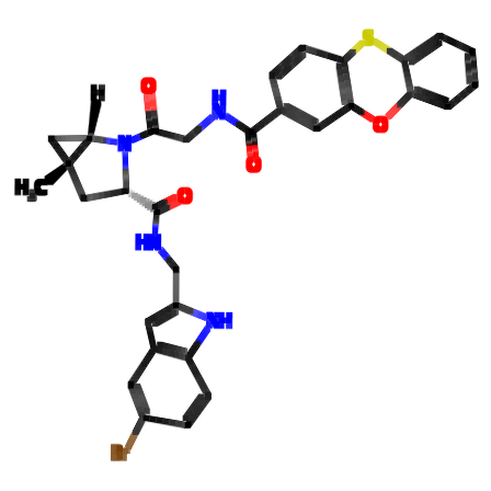 C[C@@]12C[C@@H]1N(C(=O)CNC(=O)c1ccc3c(c1)Oc1ccccc1S3)[C@H](C(=O)NCc1cc3cc(Br)ccc3[nH]1)C2